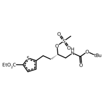 CCOC(=O)c1ccc(CC[C@@H](CNC(=O)OC(C)(C)C)OS(C)(=O)=O)s1